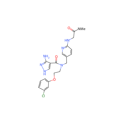 CNC(=O)CNc1ccc(CN(CCOc2cccc(Cl)c2)C(=O)c2c[nH]nc2N)cn1